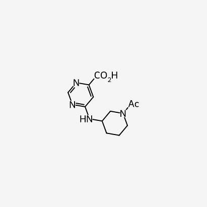 CC(=O)N1CCCC(Nc2cc(C(=O)O)ncn2)C1